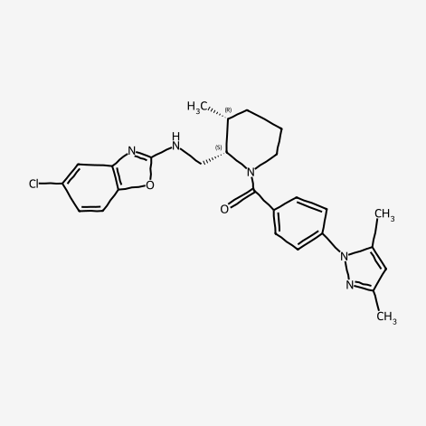 Cc1cc(C)n(-c2ccc(C(=O)N3CCC[C@@H](C)[C@H]3CNc3nc4cc(Cl)ccc4o3)cc2)n1